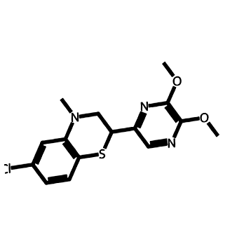 COc1ncc(C2CN(C)c3cc(Cl)ccc3S2)nc1OC